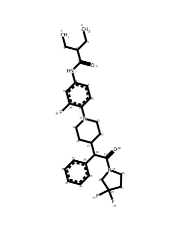 CCC(CC)C(=O)Nc1ccc(N2CCC(C(C(=O)N3CCC(F)(F)C3)c3ccccc3)CC2)c(F)c1